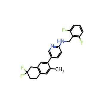 Cc1cc2c(cc1-c1ccc(NCc3c(F)cccc3F)nc1)CC(F)(F)CC2